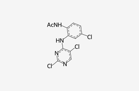 CC(=O)Nc1ccc(Cl)cc1Nc1nc(Cl)ncc1Cl